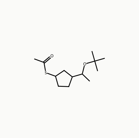 CC(=O)SC1CCC(C(C)OC(C)(C)C)C1